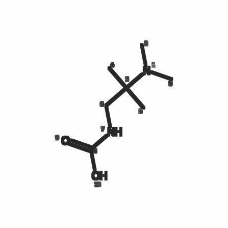 CN(C)C(C)(C)CNC(=O)O